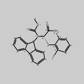 COC(=O)N(C1c2ccccc2-c2ccccc21)[C@@H](Cc1c(F)cccc1F)C(=O)O